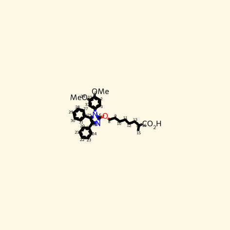 COc1ccc(-n2c(OCCCCCCC(C)C(=O)O)nc(-c3ccccc3)c2-c2ccccc2)cc1OC